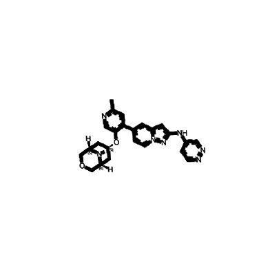 Cc1cc(-c2ccn3nc(Nc4ccnnc4)cc3c2)c(O[C@H]2C[C@H]3COC[C@@H](C2)N3C)cn1